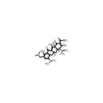 CN(C)c1cc(CN(I)I)c(O)c2c1C[C@H]1C[C@H]3[C@H](N(C)C)C(O)=C(C(N)=O)C(=O)[C@@]3(O)C(O)=C1C2=O